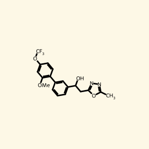 COc1cc(OC(F)(F)F)ccc1-c1cccc(C(O)Cc2nnc(C)o2)c1